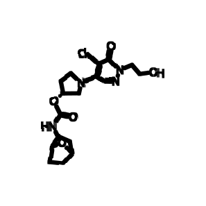 O=C(NC1CC2CCC1O2)O[C@@H]1CCN(c2cnn(CCO)c(=O)c2Cl)C1